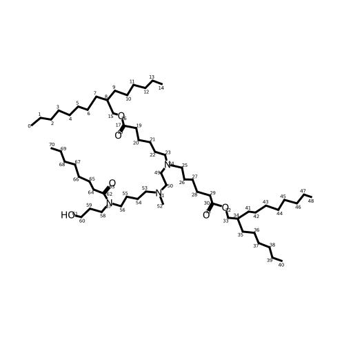 CCCCCCCCC(CCCCCC)COC(=O)CCCCCN(CCCCCC(=O)OCC(CCCCCC)CCCCCCCC)CCN(C)CCCCN(CCCO)C(=O)CCCCCCC